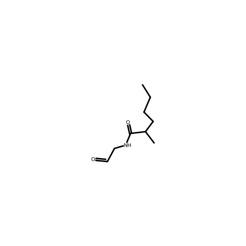 CCCCC(C)C(=O)NCC=O